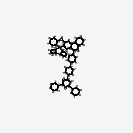 c1ccc(-c2nc(-c3ccccc3)nc(-c3ccc(-c4ccc(-c5nc6ccccc6c6cc7c(cc56)C5(c6ccccc6O7)c6ccccc6-c6ccccc65)cc4)cc3)n2)cc1